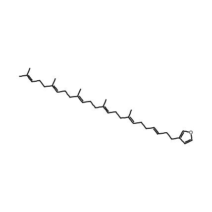 CC(C)=CCC/C(C)=C/CC/C(C)=C/CC/C(C)=C/CC/C(C)=C/CC/C=C/CCc1ccoc1